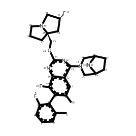 Cc1cccc(F)c1-c1c(C)cc2c(N3CC4CCC(C3)N4)nc(OC[C@@]34CCCN3C[C@H](F)C4)nc2c1F